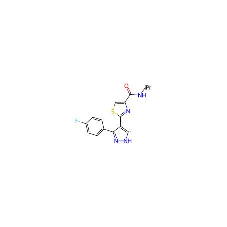 CC(C)NC(=O)c1csc(-c2[c][nH]nc2-c2ccc(F)cc2)n1